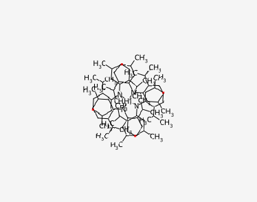 CC1CCC(C(C)C)C([N](C2CC(C)CCC2C(C)C)[Hf]([N](C2CC(C)CCC2C(C)C)C2CC(C)CCC2C(C)C)([N](C2CC(C)CCC2C(C)C)C2CC(C)CCC2C(C)C)[N](C2CC(C)CCC2C(C)C)C2CC(C)CCC2C(C)C)C1